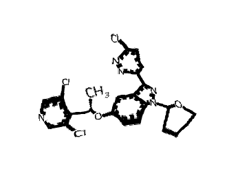 C[C@@H](Oc1ccc2c(c1)c(-c1ccc(Cl)nn1)nn2C1CCCCO1)c1c(Cl)cncc1Cl